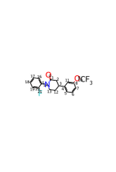 O=C1CC(c2cccc(OC(F)(F)F)c2)CCN1c1ccccc1F